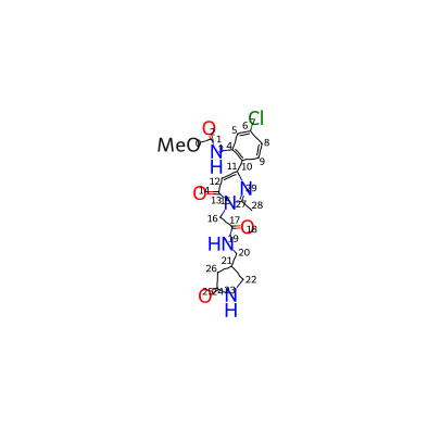 COC(=O)Nc1cc(Cl)ccc1-c1cc(=O)n(CC(=O)NCC2CNC(=O)C2)c(C)n1